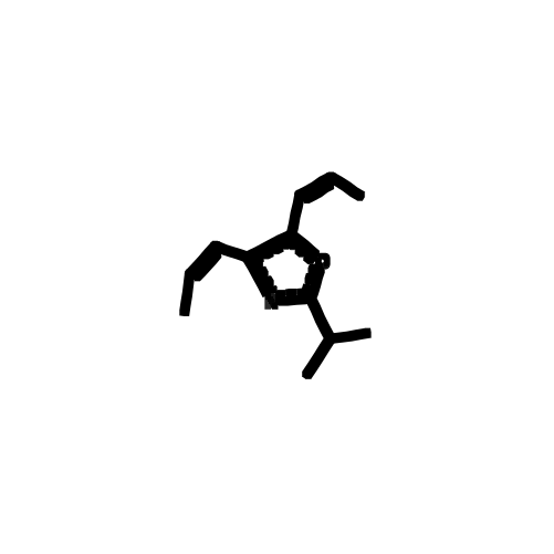 C/C=C\c1nc(C(C)C)oc1/C=C\C